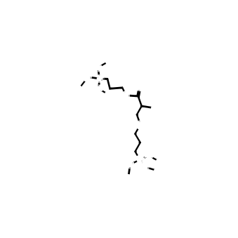 CO[Si](CCCOC(=O)C(C)CSCCC[Si](OC)(OC)OC)(OC)OC